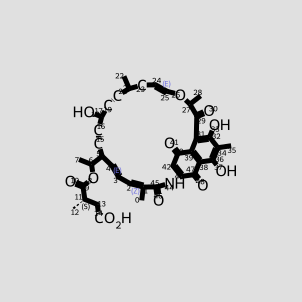 C/C1=C/C=C/C(C(C)OC(=O)[C@@H](C)CC(=O)O)CCC(O)CCC(C)C/C=C/OC(C)C(=O)c2c(O)c(C)c(O)c3c2C(=O)C=C(NC1=O)C3=O